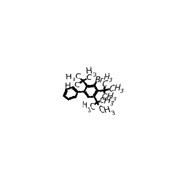 CC(C)(C)c1cc(-c2ccccc2)c(C(C)(C)C)c(Br)c1C(C)(C)C